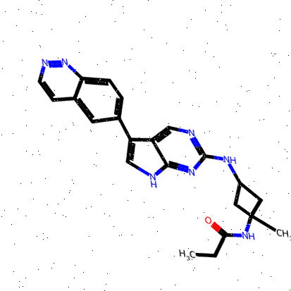 CCC(=O)NC1(C)CC(Nc2ncc3c(-c4ccc5nnccc5c4)c[nH]c3n2)C1